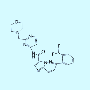 O=C(Nc1ccnc(CN2CCOCC2)n1)c1cnc2ccc(-c3ccccc3C(F)F)nn12